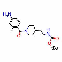 Cc1cc(N)ccc1C(=O)N1CCC(CCNC(=O)OC(C)(C)C)CC1